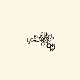 CC#CCN1c2c(n(C)c(=O)n(-c3ccc4nccnc4c3)c2=O)N(C)C1Br